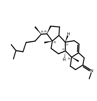 CN=C1CC[C@@]2(C)C(=CC[C@H]3C4CC[C@H]([C@H](C)CCCC(C)C)[C@@]4(C)CC[C@@H]32)C1